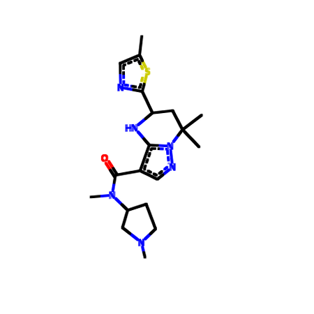 Cc1cnc(C2CC(C)(C)n3ncc(C(=O)N(C)C4CCN(C)C4)c3N2)s1